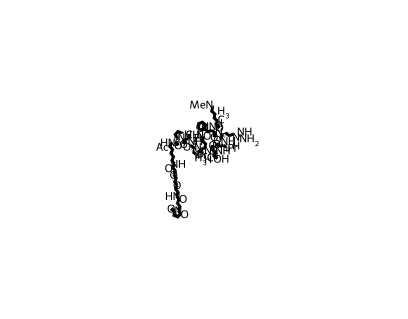 CNCCCCC(C)C(=O)NC(Cc1ccccc1)C(=O)N[C@@H](CCCNC(=N)N)C(=O)NC(C(=O)N[C@H](C(=O)NC(CCC(N)=O)C(=O)N[C@@H](CC(C)C)C(=O)NC(C)C(=O)N1CCC[C@H]1C(=O)NC(CCCCNC(=O)COCCOCCNC(=O)CCN1C(=O)C=CC1=O)C(C)=O)[C@@H](C)O)C(C)C